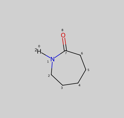 [2H]N1CCCCCC1=O